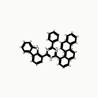 c1ccc(-c2nc(-c3cccc4c3oc3ccccc34)nc(-c3cccc4ccc5c6ccccc6ccc5c34)n2)cc1